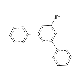 CC(C)c1cc(-c2ccccc2)[c]c(-c2ccccc2)c1